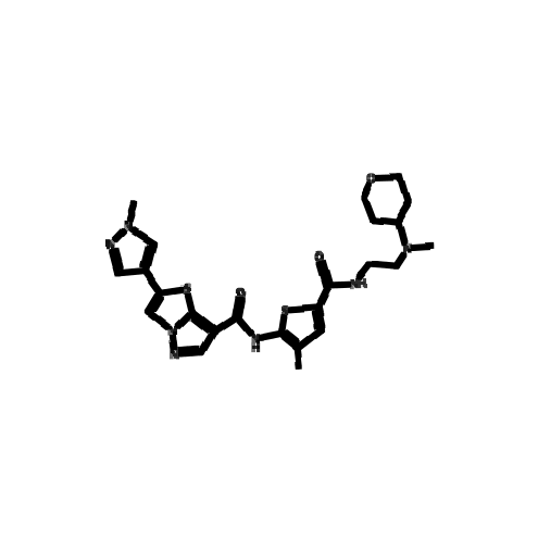 Cc1cc(C(=O)NCCN(C)C2CCOCC2)sc1NC(=O)c1cnn2cc(-c3cnn(C)c3)sc12